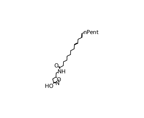 CCCCC/C=C/C/C=C/CCCCCCCC(=O)NCC1CC(O)=NO1